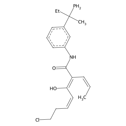 C\C=C/C(C(=O)Nc1cccc(C(C)(P)CC)c1)=C(O)\C=C/CCCl